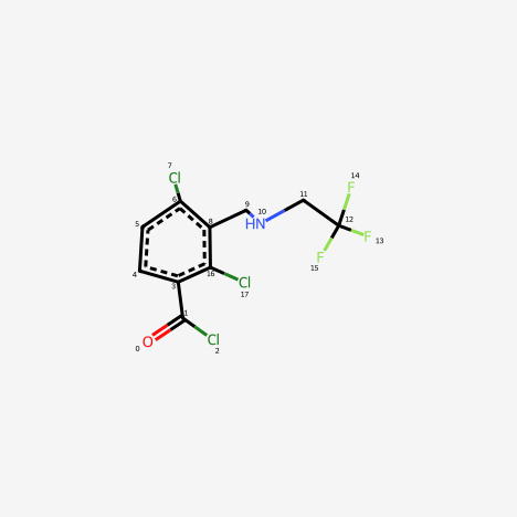 O=C(Cl)c1ccc(Cl)c(CNCC(F)(F)F)c1Cl